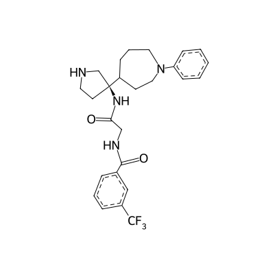 O=C(CNC(=O)c1cccc(C(F)(F)F)c1)N[C@@]1(C2CCCN(c3ccccc3)CC2)CCNC1